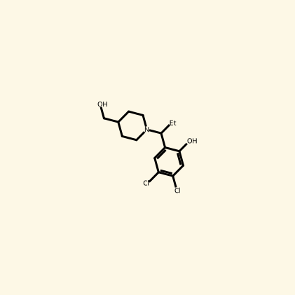 CCC(c1cc(Cl)c(Cl)cc1O)N1CCC(CO)CC1